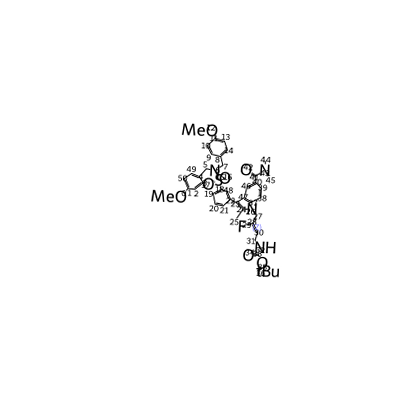 COc1ccc(CN(Cc2ccc(OC)cc2)S(=O)(=O)c2cccc(-c3c(C)n(C/C(F)=C/CNC(=O)OC(C)(C)C)c4ccc(C(=O)N(C)C)cc34)c2)cc1